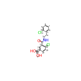 O=C(NCCc1ccccc1Cl)c1cc(B(O)O)ccc1Cl